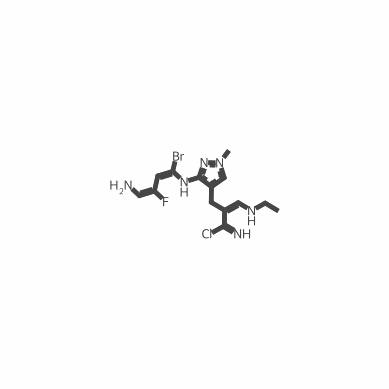 CCN/C=C(/Cc1cn(C)nc1N/C(Br)=C\C(F)=C/N)C(=N)Cl